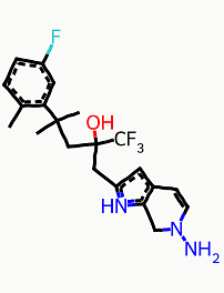 Cc1ccc(F)cc1C(C)(C)CC(O)(Cc1cc2c([nH]1)CN(N)C=C2)C(F)(F)F